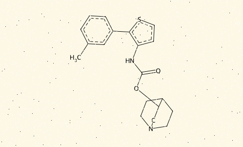 Cc1cccc(-c2sccc2NC(=O)OC2CN3CCC2CC3)c1